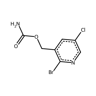 NC(=O)OCc1cc(Cl)cnc1Br